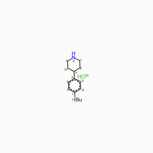 CC(C)(C)c1ccc(C2CCNCC2)cc1.Cl